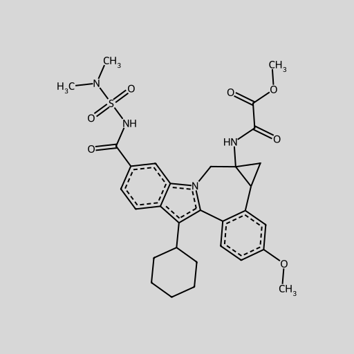 COC(=O)C(=O)NC12CC1c1cc(OC)ccc1-c1c(C3CCCCC3)c3ccc(C(=O)NS(=O)(=O)N(C)C)cc3n1C2